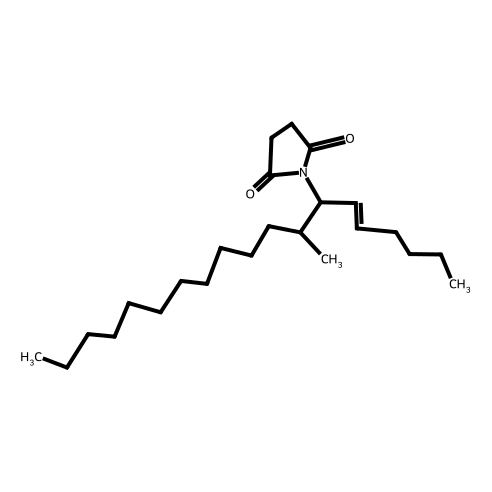 CCCCC=CC(C(C)CCCCCCCCCCC)N1C(=O)CCC1=O